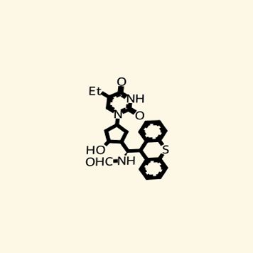 CCc1cn(C2CC(O)C([C@@H](NC=O)C3c4ccccc4Sc4ccccc43)C2)c(=O)[nH]c1=O